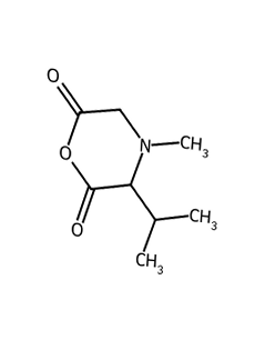 CC(C)C1C(=O)OC(=O)CN1C